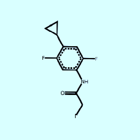 O=C(CI)Nc1cc(F)c(C2CC2)cc1F